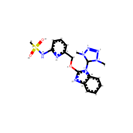 CN1N=NN(C)C1n1c(OCc2cccc(NS(C)(=O)=O)n2)nc2ccccc21